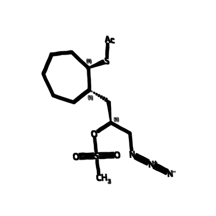 CC(=O)S[C@@H]1CCCCC[C@H]1C[C@@H](CN=[N+]=[N-])OS(C)(=O)=O